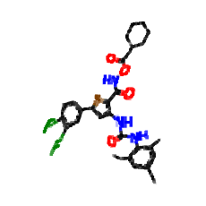 Cc1cc(C)c(NC(=O)Nc2cc(-c3ccc(F)c(F)c3)sc2C(=O)NOC(=O)C2CCCCC2)c(C)c1